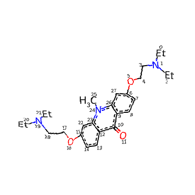 CCN(CC)CCOc1ccc2c(=O)c3ccc(OCCN(CC)CC)cc3n(C)c2c1